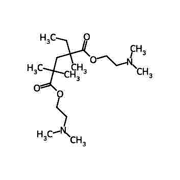 CCC(C)(CC(C)(C)C(=O)OCCN(C)C)C(=O)OCCN(C)C